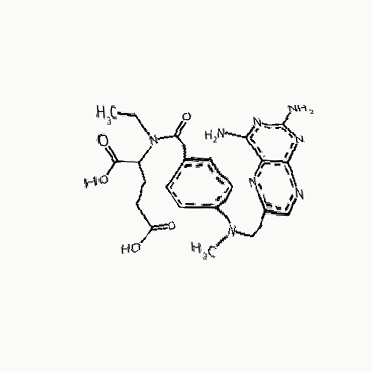 CCN(C(=O)c1ccc(N(C)Cc2cnc3nc(N)nc(N)c3n2)cc1)C(CCC(=O)O)C(=O)O